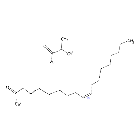 CC(O)C(=O)[O-].CCCCCCCC/C=C\CCCCCCC[C](=O)[Ca+]